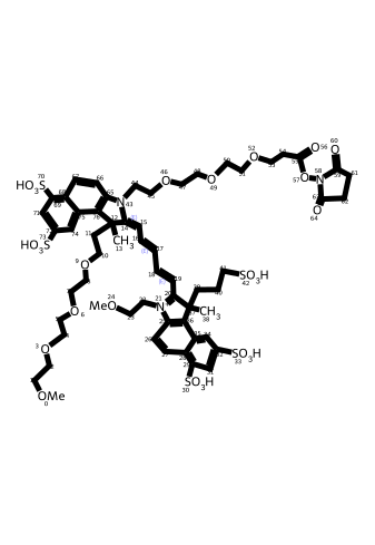 COCCOCCOCCOCCC1(C)\C(=C/C=C/C=C/C2=[N+](CCOC)c3ccc4c(S(=O)(=O)O)cc(S(=O)(=O)O)cc4c3C2(C)CCCS(=O)(=O)O)N(CCOCCOCCOCCC(=O)ON2C(=O)CCC2=O)c2ccc3c(S(=O)(=O)O)cc(S(=O)(=O)O)cc3c21